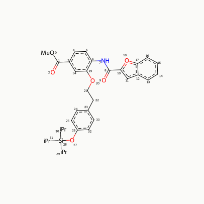 COC(=O)c1ccc(NC(=O)c2cc3ccccc3o2)c(OCCc2ccc(O[Si](C(C)C)(C(C)C)C(C)C)cc2)c1